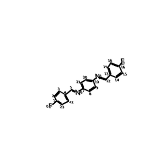 Fc1ccc(C=Nc2ccc(N=Cc3ccc(F)cc3)cc2)cc1